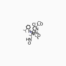 C=CCCN(/C(=N/c1ccccc1C(C)C)c1cc(Cl)c(C2=CCCOC2)nc1NC=O)C(C)CNC=O